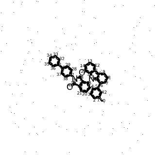 Cc1cccc(-c2cccc3c4ccccc4n(-c4cccc5c4C(=O)N(c4ccc(-c6ccccc6)cc4)C5=O)c23)c1